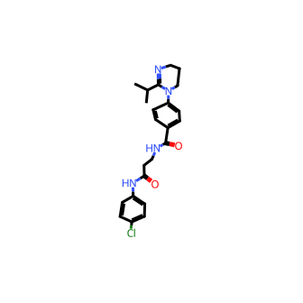 CC(C)C1=NCCCN1c1ccc(C(=O)NCCC(=O)Nc2ccc(Cl)cc2)cc1